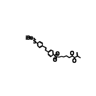 C=C(C)C(=O)C(=O)CCCCCS(=O)(=O)c1ccc(C=Cc2ccc(SC[C@H](C)CC)cc2)cc1